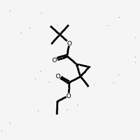 CCOC(=O)C1(C)CC1C(=O)OC(C)(C)C